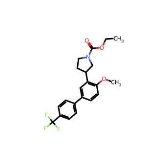 CCOC(=O)N1CCC(c2cc(-c3ccc(C(F)(F)F)cc3)ccc2OC)C1